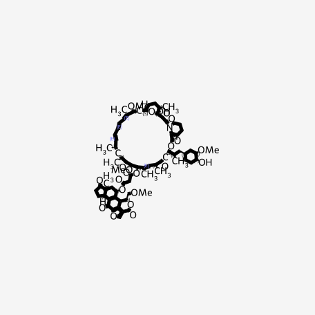 COC[C@H]1OC(=O)c2coc3c2C1C1=C(C3=O)[C@@H]2CCC(=O)[C@@]2(C)C[C@H]1OC(=O)CC(=O)O[C@@H]1/C(C)=C/[C@@H](C)C(=O)C[C@@H]([C@H](C)C[C@@H]2CC[C@@H](O)[C@H](OC)C2)OC(=O)[C@@H]2CCCCN2C(=O)C(=O)[C@]2(O)O[C@@H](CC[C@H]2C)C[C@H](OC)/C(C)=C/C=C/C=C/[C@@H](C)C[C@@H](C)C(=O)[C@@H]1OC